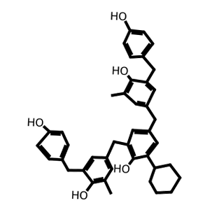 Cc1cc(Cc2cc(Cc3cc(C)c(O)c(Cc4ccc(O)cc4)c3)c(O)c(C3CCCCC3)c2)cc(Cc2ccc(O)cc2)c1O